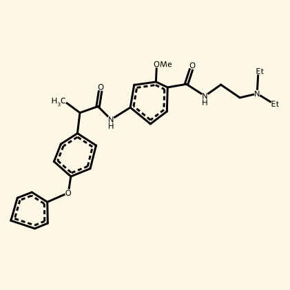 CCN(CC)CCNC(=O)c1ccc(NC(=O)C(C)c2ccc(Oc3ccccc3)cc2)cc1OC